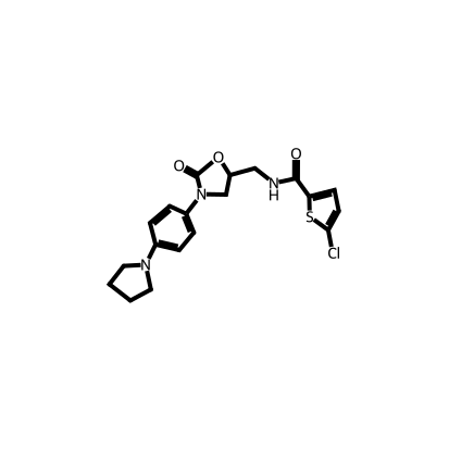 O=C(NCC1CN(c2ccc(N3CCCC3)cc2)C(=O)O1)c1ccc(Cl)s1